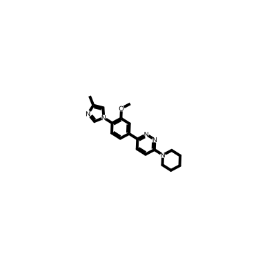 COc1cc(-c2ccc(N3CCCCC3)nn2)ccc1-n1cnc(C)c1